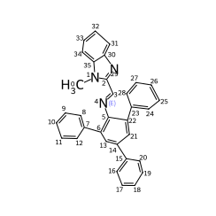 Cn1c(/C=N/c2c(-c3ccccc3)cc(-c3ccccc3)cc2-c2ccccc2)nc2ccccc21